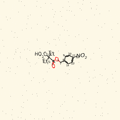 CCC(CC)(C(=O)O)C(=O)OCc1ccc([N+](=O)[O-])cc1